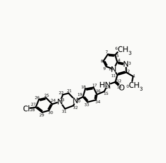 CCc1nc2c(C)cccn2c1C(=O)NCc1ccc(N2CCN(c3ccc(Cl)cc3)CC2)cc1